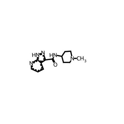 CN1CCC(NC(=O)c2n[nH]c3ncccc23)CC1